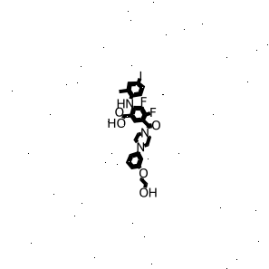 Cc1cc(I)ccc1Nc1c(C(=O)O)cc(C(=O)N2CCN(c3cccc(OCCO)c3)CC2)c(F)c1F